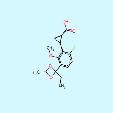 CCC1(c2ccc(F)c([C@H]3C[C@H]3C(=O)O)c2OC)OC(C)O1